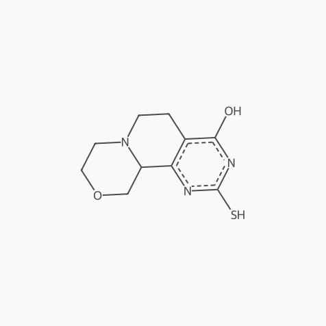 Oc1nc(S)nc2c1CCN1CCOCC21